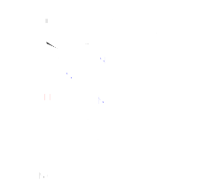 CC(C)C[C@@H]1N=C(Nc2ccc(C#N)cc2O)N(c2cccc(Cl)c2Cl)C1=O